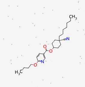 CCCCCCCC1(C#N)CCC(OC(=O)c2ccc(OCCCC)nc2)CC1